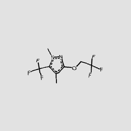 Cc1c(OCC(F)(F)F)nn(C)c1C(F)(F)F